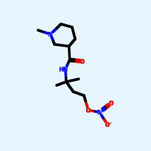 CN1CCCC(C(=O)NC(C)(C)CCO[N+](=O)[O-])C1